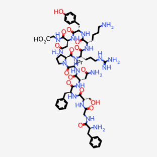 CC(C)[C@H](NC(=O)[C@H](CC(N)=O)NC(=O)[C@H](Cc1ccccc1)NC(=O)[C@H](CO)NC(=O)CNC(=O)[C@@H](N)Cc1ccccc1)C(=O)N1CCC[C@H]1C(=O)N[C@@H](CCCNC(=N)N)C(=O)N[C@@H](CCCCN)C(=O)N[C@@H](Cc1ccc(O)cc1)C(=O)N[C@@H](CC(N)=O)C(=O)NCC(=O)O